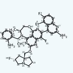 CCc1c(F)ccc2nc(N)cc(-c3nc4c5c(nc(OC[C@@]67CCCN6C[C@H](F)C7)nc5c3F)N([C@H](C)c3cccnc3N)[C@@H](C)CO4)c12